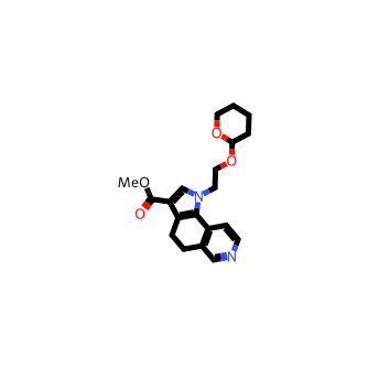 COC(=O)c1cn(CCOC2CCCCO2)c2c1CCc1cnccc1-2